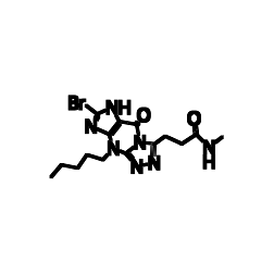 CCCCCn1c2nc(Br)[nH]c2c(=O)n2c(CCC(=O)NC)nnc12